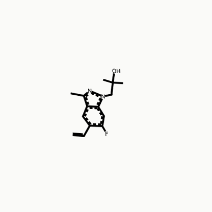 C=Cc1cc2c(C)nn(CC(C)(C)O)c2cc1F